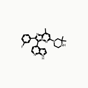 Cc1cc(N2CCNC(C)(C)C2)nn2c(-c3ccnc4[nH]ccc34)c(-c3cccc(F)c3)nc12